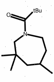 CC1CCN(C(=O)C(C)(C)C)CC(C)(C)C1